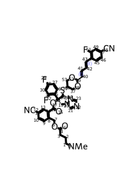 CNCCCC(=O)OCc1ccc(C#N)cc1C(=O)O[C@@](Cn1cncn1)(c1ccc(F)cc1F)[C@@H](C)S[C@H]1CO[C@H](/C=C/C=C/c2ccc(C#N)cc2F)OC1